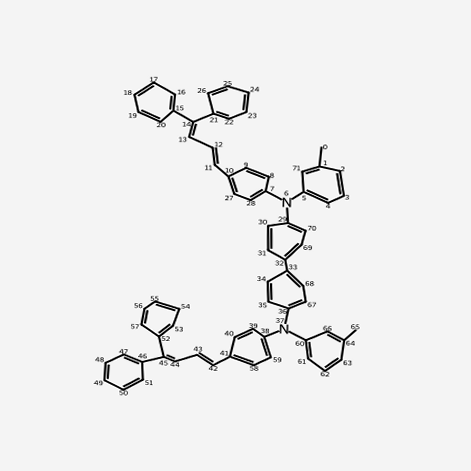 Cc1cccc(N(c2ccc(C=CC=C(c3ccccc3)c3ccccc3)cc2)c2ccc(-c3ccc(N(c4ccc(C=CC=C(c5ccccc5)c5ccccc5)cc4)c4cccc(C)c4)cc3)cc2)c1